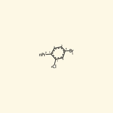 CCCc1ccc(Br)cc1Cl